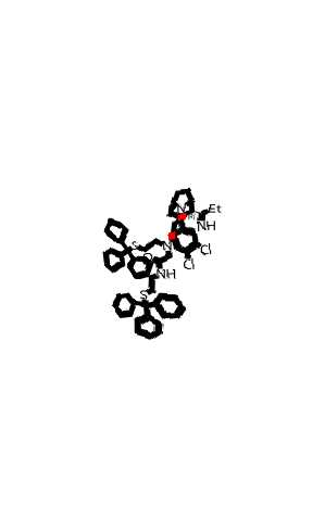 CCC(=N)[C@@H]1C(c2ccc(Cl)c(Cl)c2)CC2CCC1N2CCCN(CCSC(c1ccccc1)(c1ccccc1)c1ccccc1)CC(=O)NCCSC(c1ccccc1)(c1ccccc1)c1ccccc1